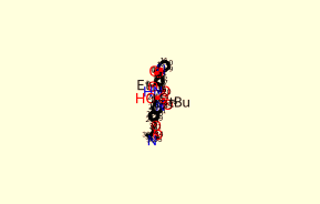 CCOc1cc(C(=O)N2C3CCCC2COC3)ccc1C(=O)NC[C@@H](O)[C@@H]1Cc2ccc(OCc3ocnc3C)cc2CN1C(=O)OC(C)(C)C